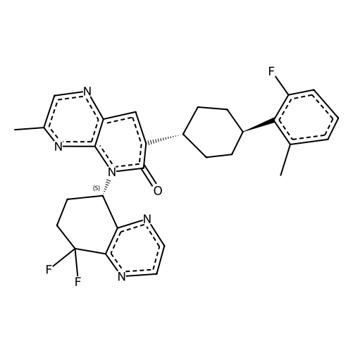 Cc1cnc2cc([C@H]3CC[C@H](c4c(C)cccc4F)CC3)c(=O)n([C@H]3CCC(F)(F)c4nccnc43)c2n1